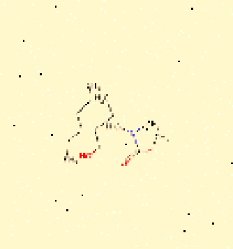 CCCCCC.CCCCO.CN(C)C=O.CO